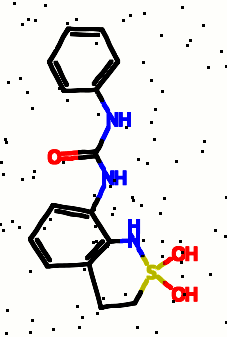 O=C(Nc1ccccc1)Nc1cccc2c1NS(O)(O)CC2